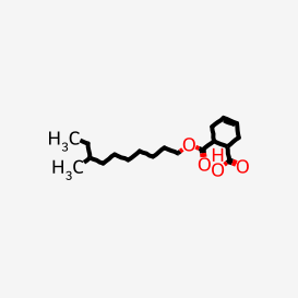 CCC(C)CCCCCCCOC(=O)C1CC=CCC1C(=O)O